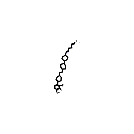 C/C=C/CC/C=C/C1CCC(C2CCC(CCC3CC=C(c4ccc(CCC)c(F)c4F)CC3)CC2)CC1